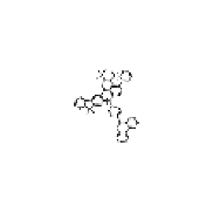 CC1(C)CCC(C)(C)c2cc(-c3cc4c(cc3N(c3ccc(-c5ccccc5)cc3)c3ccc(-c5cc6ccccc6c6ccccc56)cc3)C(C)(C)c3ccccc3-4)ccc21